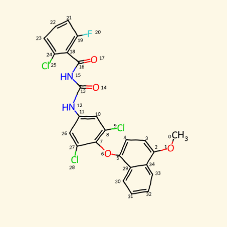 COc1ccc(Oc2c(Cl)cc(NC(=O)NC(=O)c3c(F)cccc3Cl)cc2Cl)c2ccccc12